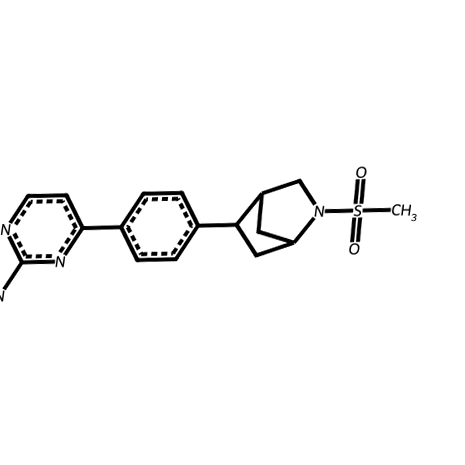 CS(=O)(=O)N1CC2CC1CC2c1ccc(-c2ccnc(N)n2)cc1